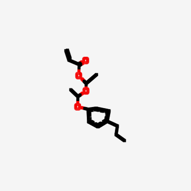 C=CC(=O)OC(C)OC(C)Oc1ccc(CCC)cc1